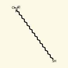 SCCCCCCCCCCCCCCCCCCCCCCCCCCCC[SiH](Cl)Cl